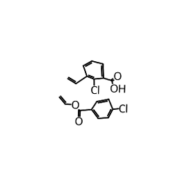 C=COC(=O)c1ccc(Cl)cc1.C=Cc1cccc(C(=O)O)c1Cl